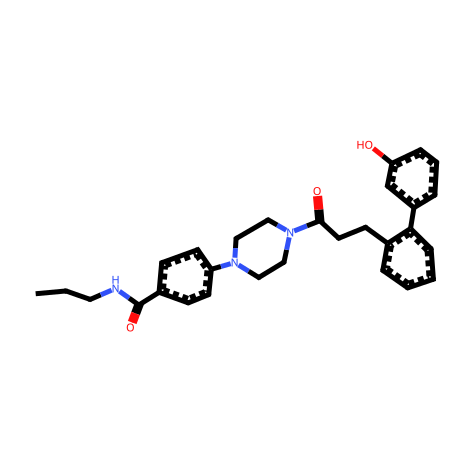 CCCNC(=O)c1ccc(N2CCN(C(=O)CCc3ccccc3-c3cccc(O)c3)CC2)cc1